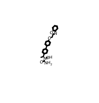 CC(c1ccc(-c2ccc(OCc3nc4ccccc4o3)cc2)cc1)N(O)C(N)=O